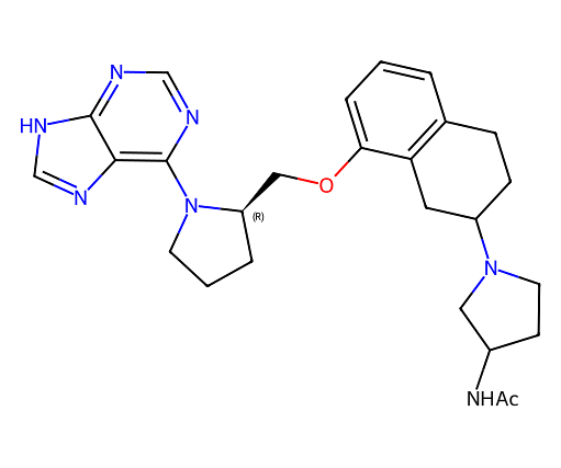 CC(=O)NC1CCN(C2CCc3cccc(OC[C@H]4CCCN4c4ncnc5[nH]cnc45)c3C2)C1